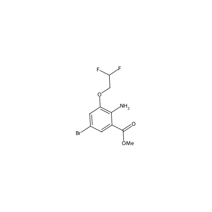 COC(=O)c1cc(Br)cc(OCC(F)F)c1N